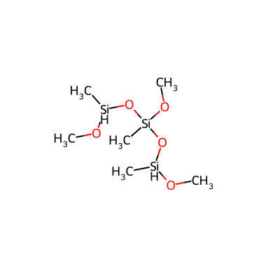 CO[SiH](C)O[Si](C)(OC)O[SiH](C)OC